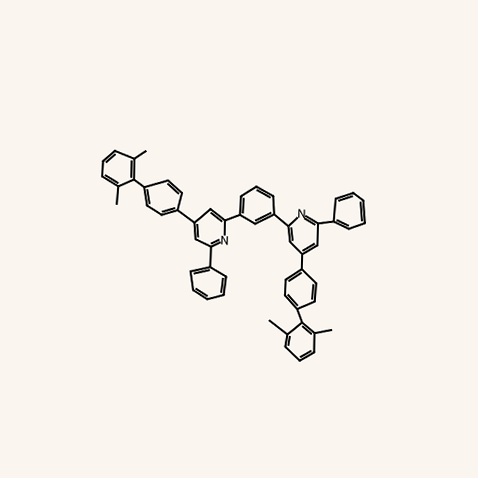 Cc1cccc(C)c1-c1ccc(-c2cc(-c3ccccc3)nc(-c3cccc(-c4cc(-c5ccc(-c6c(C)cccc6C)cc5)cc(-c5ccccc5)n4)c3)c2)cc1